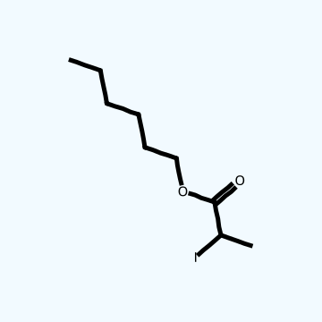 CCCCCCOC(=O)C(C)I